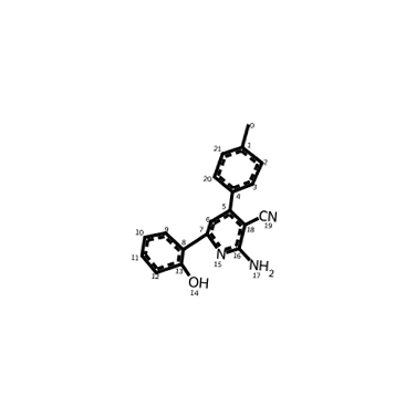 Cc1ccc(-c2cc(-c3ccccc3O)nc(N)c2C#N)cc1